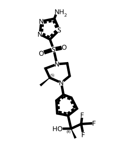 C[C@H]1CN(S(=O)(=O)c2nnc(N)s2)CCN1c1ccc([C@@](C)(O)C(F)(F)F)cc1